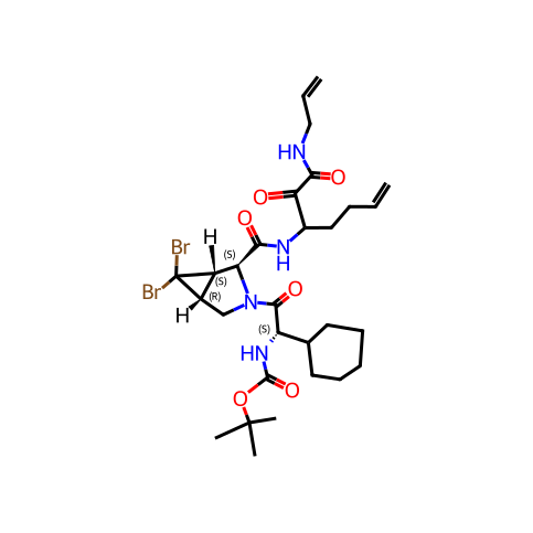 C=CCCC(NC(=O)[C@@H]1[C@@H]2[C@H](CN1C(=O)[C@@H](NC(=O)OC(C)(C)C)C1CCCCC1)C2(Br)Br)C(=O)C(=O)NCC=C